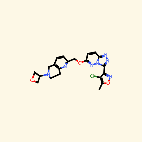 Cc1onc(-c2nnc3ccc(OCc4ccc5c(n4)CCN(C4COC4)C5)nn23)c1Cl